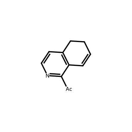 CC(=O)c1nccc2c1C=CCC2